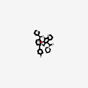 O=C1c2c(c(C(=O)N3CCCCC3)c3cccnc3c2OC(c2ccccc2)c2ccccc2)CN1Cc1ccc(F)cc1